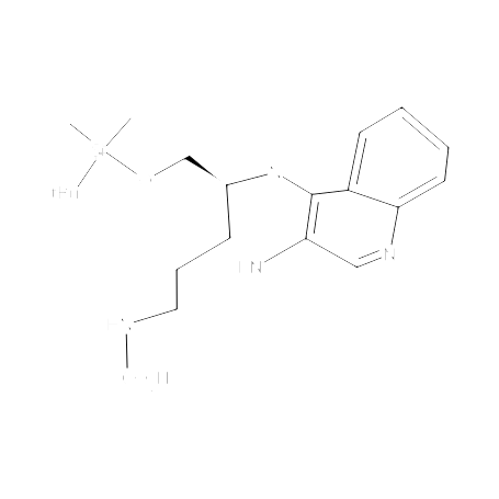 CC(C)(C)[Si](C)(C)OC[C@H](CCCNC(=O)O)Nc1c(N)cnc2ccccc12